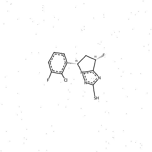 Fc1cccc([C@@H]2C[C@H](F)c3nc(S)nn32)c1Cl